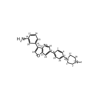 CN1CCN(c2ccc(-c3cnc4c(-c5cccc(N)c5)coc4c3)cc2)CC1